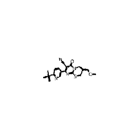 COCC1CSc2nc(-c3ccc(C(C)(C)C)nc3)c(C#N)c(=O)n2C1